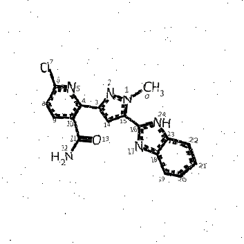 Cn1nc(-c2nc(Cl)ccc2C(N)=O)cc1-c1nc2ccccc2[nH]1